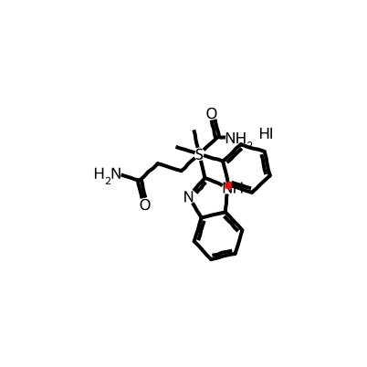 CS(C)(CCC(N)=O)(C(N)=O)(c1ccccc1)c1nc2ccccc2[nH]1.I